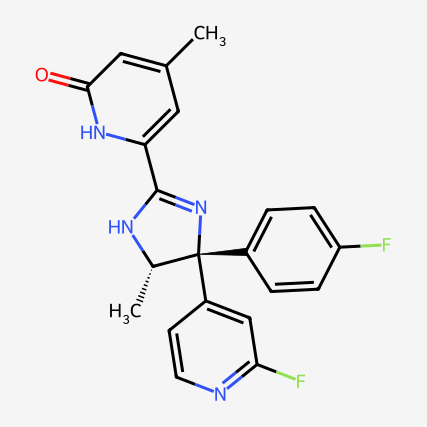 Cc1cc(C2=N[C@](c3ccc(F)cc3)(c3ccnc(F)c3)[C@H](C)N2)[nH]c(=O)c1